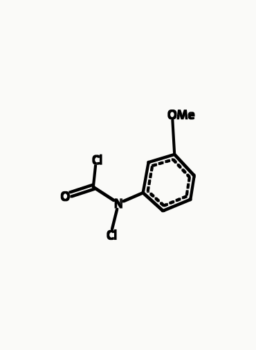 COc1cccc(N(Cl)C(=O)Cl)c1